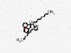 CCCCCCCCCC(c1nccn1CCCCCCC)C(C)(Cc1ccccc1)c1ccccc1